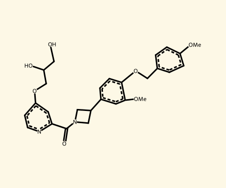 COc1ccc(COc2ccc(C3CN(C(=O)c4cc(OCC(O)CO)ccn4)C3)cc2OC)cc1